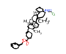 CC1C(C2=CC[C@H](C(=O)OCc3ccccc3)CC2)=CCC2(C)C1CCC1(C)C2CCC2[C@H]3CCCC3(NCCCl)CC[C@]21C